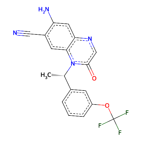 C[C@@H](c1cccc(OC(F)(F)F)c1)n1c(=O)cnc2cc(N)c(C#N)cc21